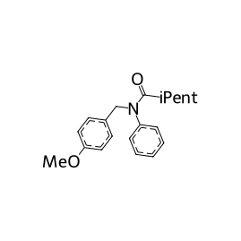 CCCC(C)C(=O)N(Cc1ccc(OC)cc1)c1ccccc1